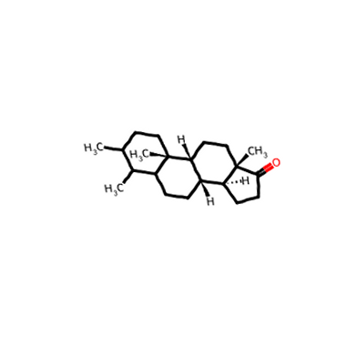 CC1CC[C@@]2(C)C(CC[C@@H]3[C@H]2CC[C@]2(C)C(=O)CC[C@@H]32)C1C